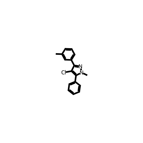 Cc1cccc(-c2nn(C)c(-c3ccccc3)c2Cl)c1